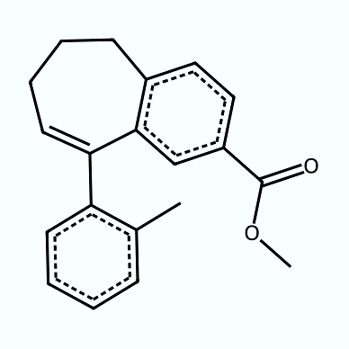 COC(=O)c1ccc2c(c1)C(c1ccccc1C)=CCCC2